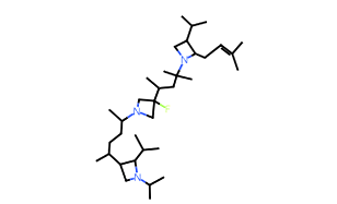 CC(C)=CCC1C(C(C)C)CN1C(C)(C)CC(C)C1(F)CN(C(C)CCC(C)C2CN(C(C)C)C2C(C)C)C1